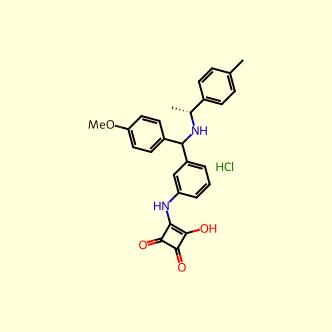 COc1ccc(C(N[C@H](C)c2ccc(C)cc2)c2cccc(Nc3c(O)c(=O)c3=O)c2)cc1.Cl